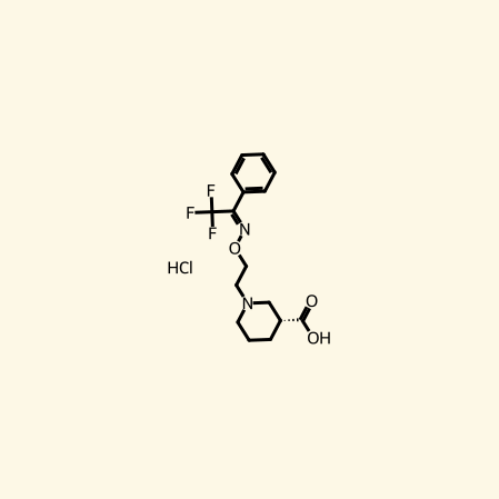 Cl.O=C(O)[C@@H]1CCCN(CCON=C(c2ccccc2)C(F)(F)F)C1